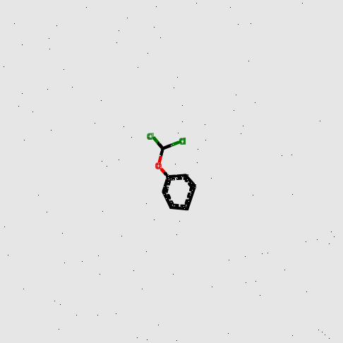 ClC(Cl)Oc1[c]cccc1